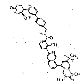 Cc1c(-c2cc3cccc(-c4cc(C(C)(F)F)cc5c4CN(C)C(=O)N5C)c3cn2)ccnc1C(=O)NCc1ccc(-c2ccnc(C3CCC(=O)NC3=O)c2F)cc1